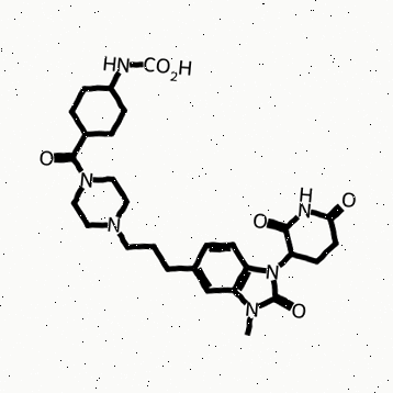 Cn1c(=O)n(C2CCC(=O)NC2=O)c2ccc(CCCN3CCN(C(=O)C4CCC(NC(=O)O)CC4)CC3)cc21